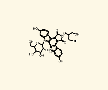 O=C1c2c(c3c4ccc(O)cc4n(C4OC(CO)C(O)C(O)C4O)c3c3[nH]c4cc(O)ccc4c23)C(=O)N1OC(CO)CO